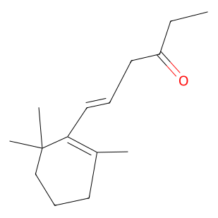 CCC(=O)CC=CC1=C(C)CCCC1(C)C